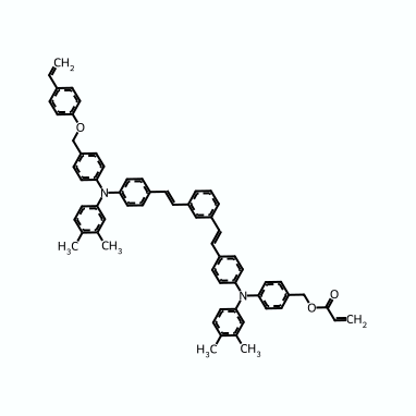 C=CC(=O)OCc1ccc(N(c2ccc(C=Cc3cccc(C=Cc4ccc(N(c5ccc(COc6ccc(C=C)cc6)cc5)c5ccc(C)c(C)c5)cc4)c3)cc2)c2ccc(C)c(C)c2)cc1